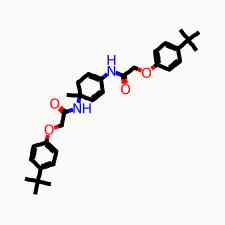 CC1(NC(=O)COc2ccc(C(C)(C)C)cc2)C=CC(NC(=O)COc2ccc(C(C)(C)C)cc2)=CC1